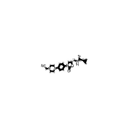 N#CCN1CCN(c2ccc(N3C[C@H](CNC(=S)C4CC4)OC3=O)cc2)CC1